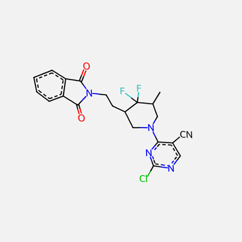 CC1CN(c2nc(Cl)ncc2C#N)CC(CCN2C(=O)c3ccccc3C2=O)C1(F)F